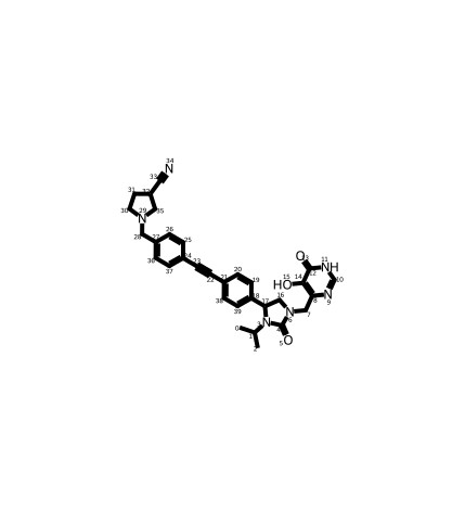 CC(C)N1C(=O)N(Cc2nc[nH]c(=O)c2O)CC1c1ccc(C#Cc2ccc(CN3CCC(C#N)C3)cc2)cc1